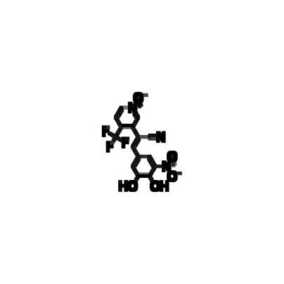 N#CC(=Cc1cc(O)c(O)c([N+](=O)[O-])c1)c1c[n+]([O-])ccc1C(F)(F)F